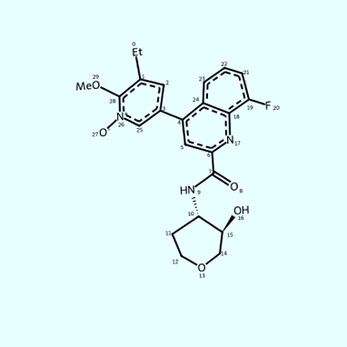 CCc1cc(-c2cc(C(=O)N[C@H]3CCOC[C@@H]3O)nc3c(F)cccc23)c[n+]([O-])c1OC